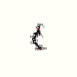 Cn1c(-c2cn(-c3ccc(N)cn3)nc2C(F)(F)F)cnc1C(=O)Nc1ccc(C(=O)N2CC3(CC(NC(=O)[C@@H]4C[C@@H](O)CN4)C3)C2)c(Cl)c1